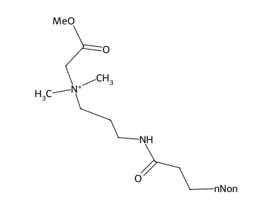 CCCCCCCCCCCC(=O)NCCC[N+](C)(C)CC(=O)OC